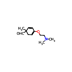 CN(C)CCOC1=CCC(C)(C=O)C=C1